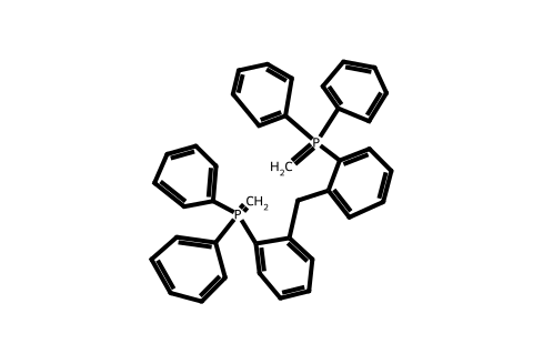 C=P(c1ccccc1)(c1ccccc1)c1ccccc1Cc1ccccc1P(=C)(c1ccccc1)c1ccccc1